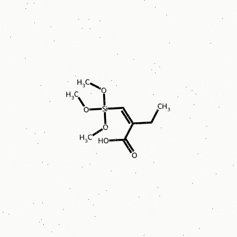 CCC(=C[Si](OC)(OC)OC)C(=O)O